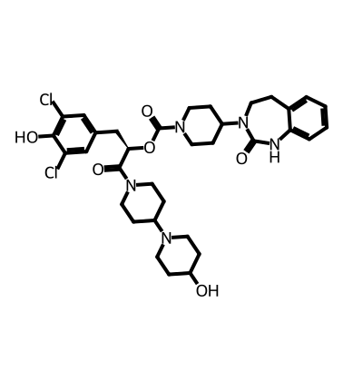 O=C(O[C@H](Cc1cc(Cl)c(O)c(Cl)c1)C(=O)N1CCC(N2CCC(O)CC2)CC1)N1CCC(N2CCc3ccccc3NC2=O)CC1